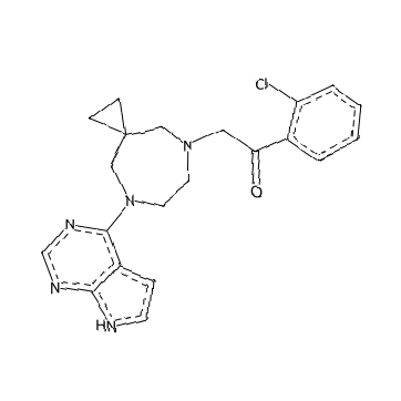 O=C(CN1CCN(c2ncnc3[nH]ccc23)CC2(CC2)C1)c1ccccc1Cl